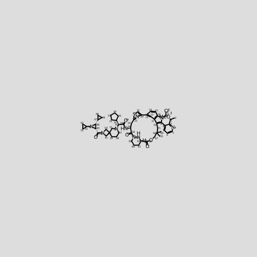 CO[C@@H](C)c1ncccc1-c1c2c3cc(ccc3n1CC(F)(F)F)-c1csc(n1)C[C@H](NC(=O)[C@H](C1CCCC1)N1CCCC3(CN(C(=O)[C@H]4[C@@H](C5CC5)N4C4CC4)C3)C1)C(=O)N1CCC[C@H](N1)C(=O)OCC(C)(C)C2